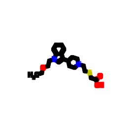 CCOCCn1cc(C2CCN(CCSCC(=O)O)CC2)c2ccccc21